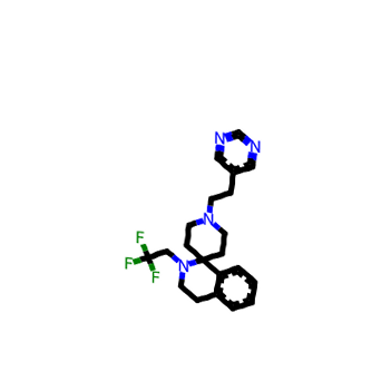 FC(F)(F)CN1CCc2ccccc2C12CCN(CCc1cncnc1)CC2